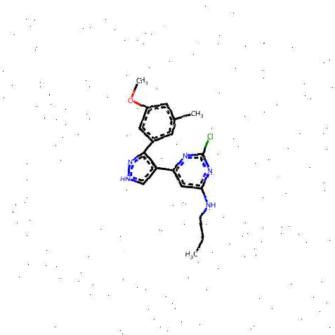 CCCNc1cc(-c2c[nH]nc2-c2cc(C)cc(OC)c2)nc(Cl)n1